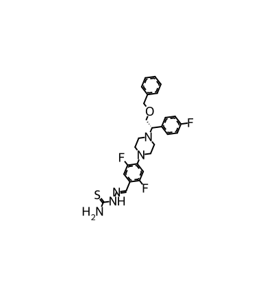 NC(=S)N/N=C/c1cc(F)c(N2CCN([C@H](COCc3ccccc3)c3ccc(F)cc3)CC2)cc1F